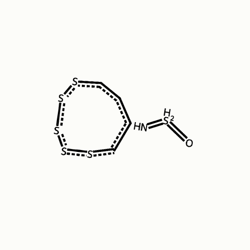 N=[SH2]=O.c1ccsssssc1